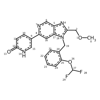 COCc1nc2cnc(-c3ccc(=O)[nH]c3)cc2n1Cc1ccccc1OC(F)F